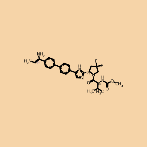 COC(=O)N[C@H](C(=O)N1CC(F)(F)C[C@H]1c1ncc(-c2ccc(-c3ccc(/C(N)=C/N)cc3)cc2)[nH]1)C(C)C